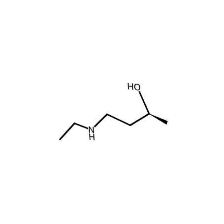 CCNCC[C@H](C)O